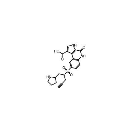 C#CCN(CC1CCCN1)S(=O)(=O)c1ccc2[nH]c(=O)c3[nH]cc(C(=O)O)c3c2c1